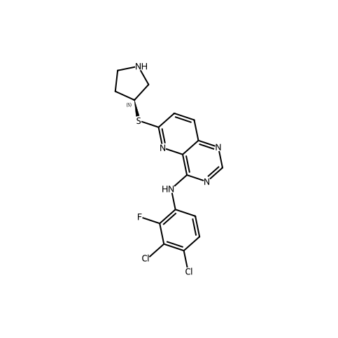 Fc1c(Nc2ncnc3ccc(S[C@H]4CCNC4)nc23)ccc(Cl)c1Cl